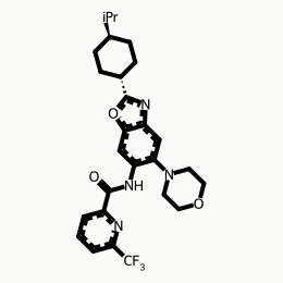 CC(C)[C@H]1CC[C@H](c2nc3cc(N4CCOCC4)c(NC(=O)c4cccc(C(F)(F)F)n4)cc3o2)CC1